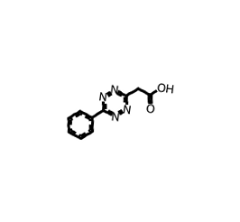 O=C(O)Cc1nnc(-c2ccccc2)nn1